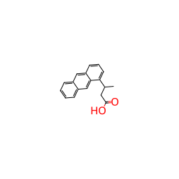 CC(CC(=O)O)c1cccc2cc3ccccc3cc12